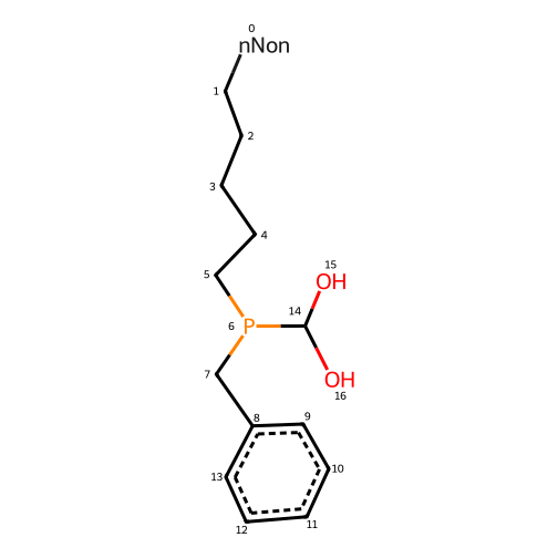 CCCCCCCCCCCCCCP(Cc1ccccc1)C(O)O